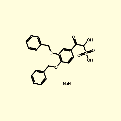 O=C(c1ccc(OCc2ccccc2)c(OCc2ccccc2)c1)C(O)S(=O)(=O)O.[NaH]